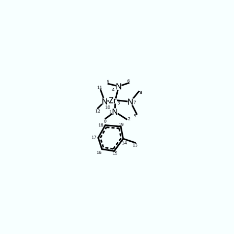 C[N](C)[Zr]([N](C)C)([N](C)C)[N](C)C.Cc1ccccc1